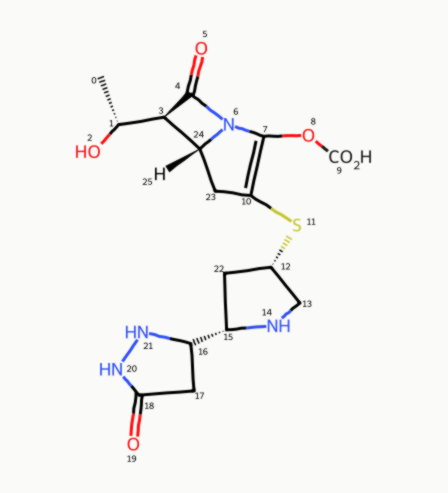 C[C@@H](O)[C@H]1C(=O)N2C(OC(=O)O)=C(S[C@@H]3CN[C@H](C4CC(=O)NN4)C3)C[C@H]12